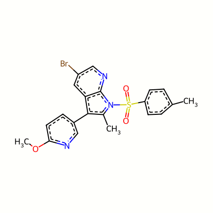 COc1ccc(-c2c(C)n(S(=O)(=O)c3ccc(C)cc3)c3ncc(Br)cc23)cn1